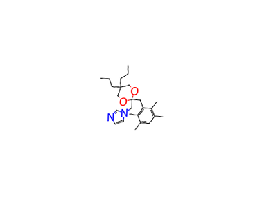 CCCC1(CCC)COC(Cc2c(C)c(C)cc(C)c2C)(Cn2ccnc2)OC1